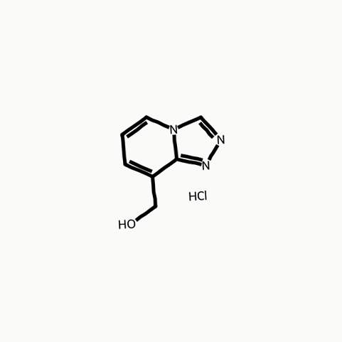 Cl.OCc1cccn2cnnc12